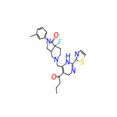 CCCC(=O)C1=C(CN2CCC3(F)C(=O)N(c4cccc(C)c4)CC3C2)NC(c2nccs2)=NC1